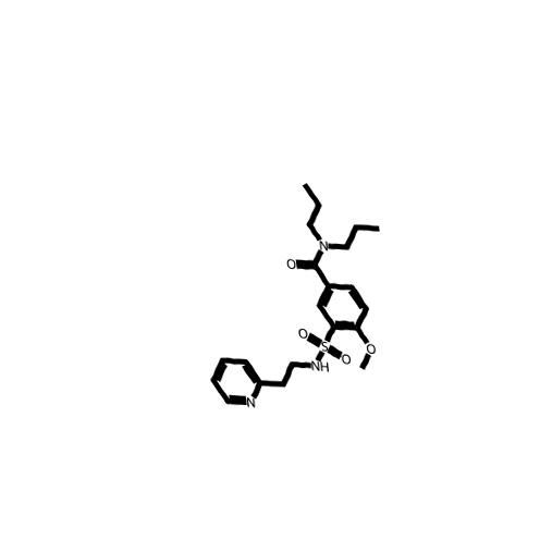 CCCN(CCC)C(=O)c1ccc(OC)c(S(=O)(=O)NCCc2ccccn2)c1